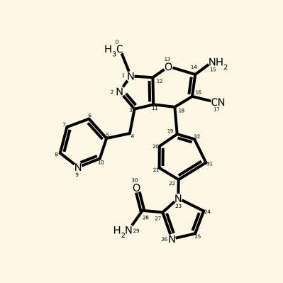 Cn1nc(Cc2cccnc2)c2c1OC(N)=C(C#N)C2c1ccc(-n2ccnc2C(N)=O)cc1